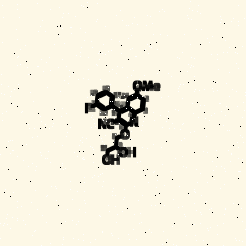 COc1ccc2nc(OCC(O)CO)c(C#N)c(-c3cccc(F)c3)c2c1